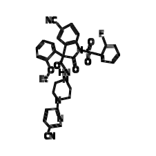 CCOc1ccccc1C1(C(=O)NN2CCN(c3ccc(C#N)cn3)CC2)C(=O)N(S(=O)(=O)c2ccccc2F)c2ccc(C#N)cc21